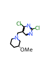 CO[C@@H]1CCCN(Cc2cnc(Cl)nc2Cl)C1